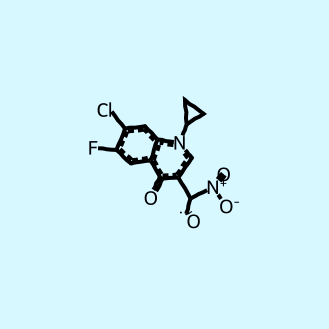 O=[C]C(c1cn(C2CC2)c2cc(Cl)c(F)cc2c1=O)[N+](=O)[O-]